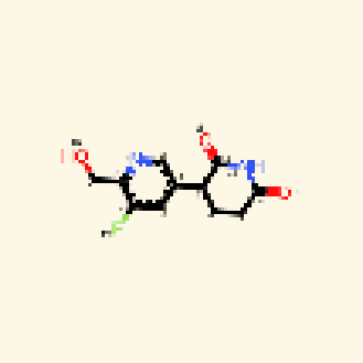 O=C1CCC(c2cnc(CO)c(F)c2)C(=O)N1